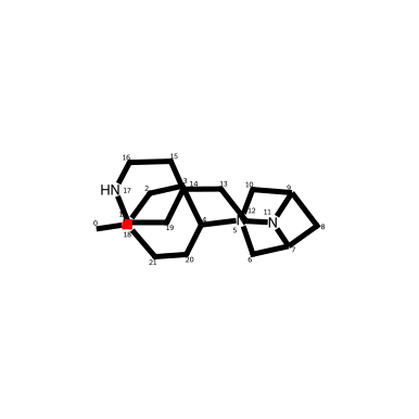 CN1CCC(N2CC3CC(C2)N3CCC2CCNCC2)CC1